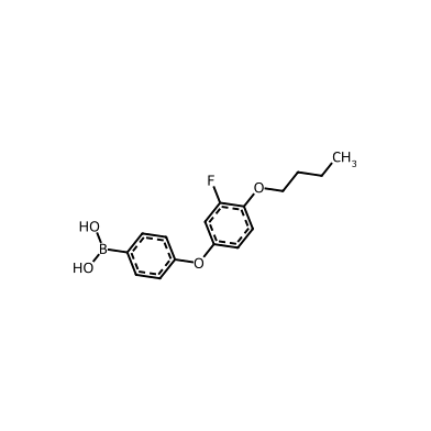 CCCCOc1ccc(Oc2ccc(B(O)O)cc2)cc1F